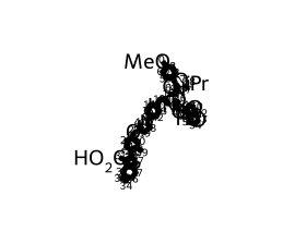 COc1ccc(S(=O)(=O)N(CC[C@H](Cc2ccc(N3CC[C@@H](Oc4ccc(-c5sc6c(c5C(=O)O)CC(C)(C)CC6)c(C)c4)C3)cc2)NC(=O)O[C@H]2CO[C@@]3(C)OCC[C@@H]23)CC(C)C)cc1